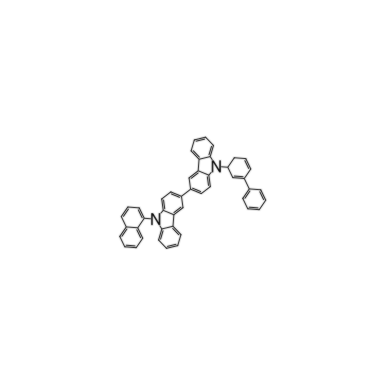 C1=CC(c2ccccc2)=CC(n2c3ccccc3c3cc(-c4ccc5c(c4)c4ccccc4n5-c4cccc5ccccc45)ccc32)C1